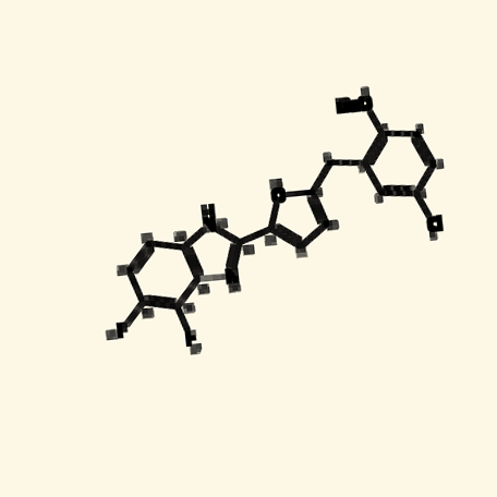 CC(C)COc1ccc(Cl)cc1Cc1ccc(-c2nc3c(F)c(F)ccc3[nH]2)o1